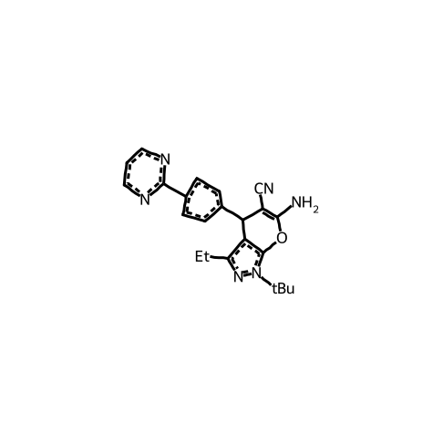 CCc1nn(C(C)(C)C)c2c1C(c1ccc(-c3ncccn3)cc1)C(C#N)=C(N)O2